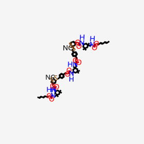 C/C=C/C=C/COC(=O)NCC1(C)CC(NC(=O)OC2=CCC(C#N)(SCc3ccc(COC(=O)NC4CC(C)(C)CC(C)(CNC(=O)OCc5ccc(CSC6(C#N)CC(OC(=O)NC7CC(C)(C)CC(C)(CNC(=O)OC/C=C/C=C/C)C7)=CCS6)cc5)C4)cc3)SC2)CC(C)(C)C1